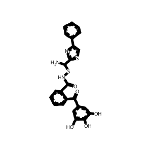 NC(SNC(=O)c1ccccc1C(=O)c1cc(O)c(O)c(O)c1)c1nc(-c2ccccc2)cs1